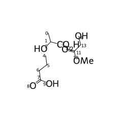 CC(O)C(=O)O.CCCC(=O)O.COC(=O)CO